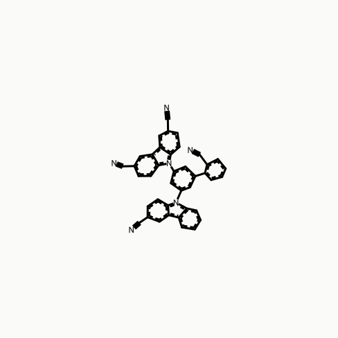 N#Cc1ccc2c(c1)c1ccccc1n2-c1cc(-c2ccccc2C#N)cc(-n2c3ccc(C#N)cc3c3cc(C#N)ccc32)c1